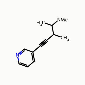 CNC(C)C(C)C#Cc1cccnc1